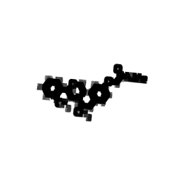 CNC(=O)COc1ccc(CC(C)N2CCOC(c3ccccc3C(F)(F)F)C2)cc1